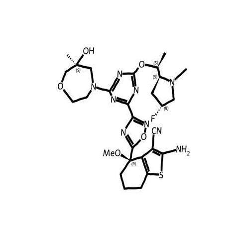 CO[C@]1(c2nc(-c3nc(O[C@@H](C)[C@@H]4C[C@@H](F)CN4C)nc(N4CCOC[C@@](C)(O)C4)n3)no2)CCCc2sc(N)c(C#N)c21